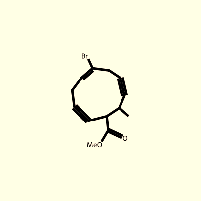 COC(=O)C1C#CC/C=C(/Br)CC#CC1C